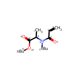 C=CC(=O)N(CCCC)C(C)C(=O)OCCCC